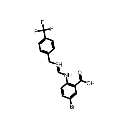 O=C(O)c1cc(Br)ccc1NC=[SH]Cc1ccc(C(F)(F)F)cc1